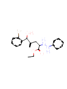 C=C(CC(NNc1ccccc1)C(=O)OCC)C(O)c1ccccc1Br